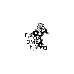 COC(=O)N(Cc1cc(C(F)(F)F)cc(Cl)n1)[C@H]1C[C@@H](C2CC2)N(C(=O)OC(C)C)c2ccc(C(F)(F)F)cc21